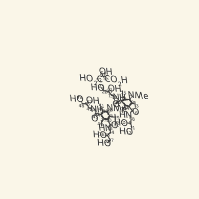 CNc1c(I)c(C(=O)NCC(O)CO)c(I)c(C(=O)NCC(O)CO)c1I.CNc1c(I)c(C(=O)NCC(O)CO)c(I)c(C(=O)NCC(O)CO)c1I.O=C(O)C(O)C(=O)O